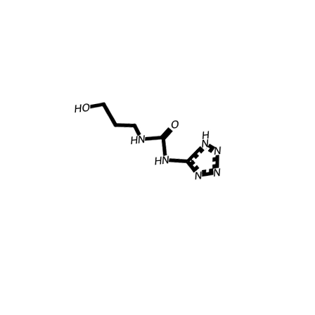 O=C(NCCCO)Nc1nnn[nH]1